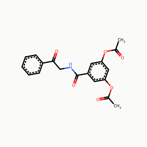 CC(=O)Oc1cc(OC(C)=O)cc(C(=O)NCC(=O)c2ccccc2)c1